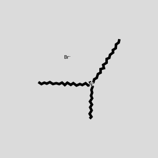 CCCCCCCCCCCCCCCCCC[N+](C)(CCCCCCCCCCCC)CCCCCCCCCCCCCCCCCC.[Br-]